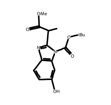 COC(=O)C(C)c1nc2ccc(O)cc2n1C(=O)OC(C)(C)C